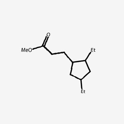 CCC1CC(CC)C(CCC(=O)OC)C1